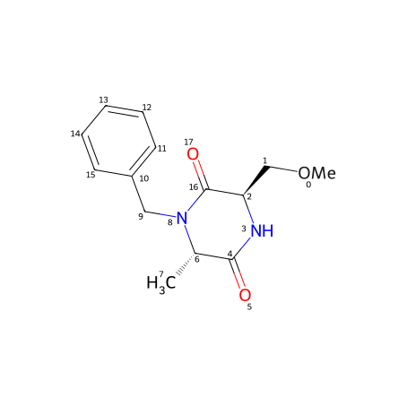 COC[C@H]1NC(=O)[C@H](C)N(Cc2ccccc2)C1=O